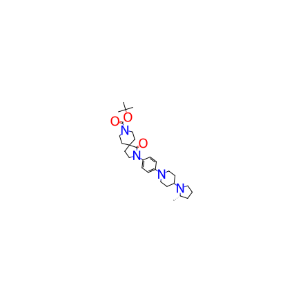 C[C@H]1CCCN1C1CCN(c2ccc(N3CCC4(CCN(C(=O)OC(C)(C)C)CC4)C3=O)cc2)CC1